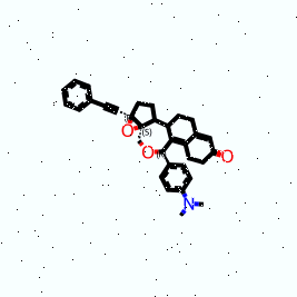 CN(C)c1ccc([C@H]2OC[C@]34O[C@@]3(C#Cc3ccccc3)CCC4C3CCC4=CC(=O)CCC4=C32)cc1